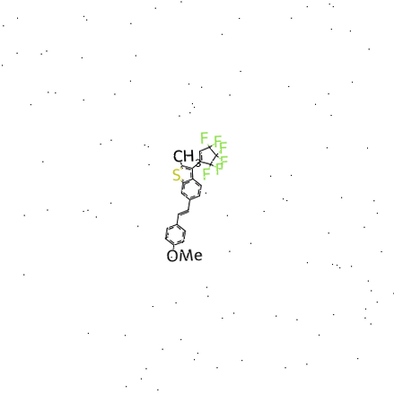 COc1ccc(C=Cc2ccc3c(C4=CC(F)(F)C(F)(F)C4(F)F)c(C)sc3c2)cc1